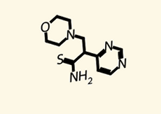 NC(=S)C(CN1CCOCC1)c1ccncn1